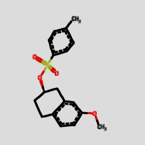 COc1ccc2c(c1)C[C@H](OS(=O)(=O)c1ccc(C)cc1)CC2